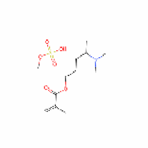 C=C(C)C(=O)OCCCC(C)N(C)C.COS(=O)(=O)O